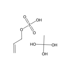 C=CCOS(=O)(=O)O.CC(O)(O)O